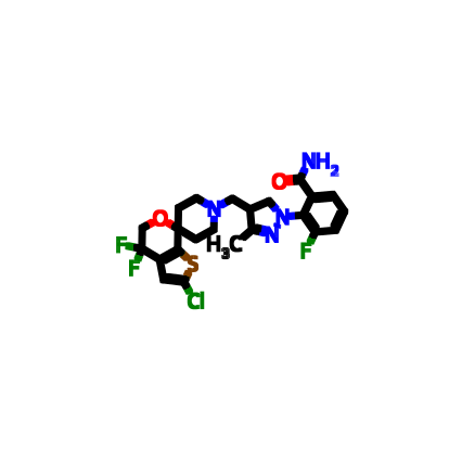 CC1=NN(c2c(F)cccc2C(N)=O)CC1CN1CCC2(CC1)OCC(F)(F)c1cc(Cl)sc12